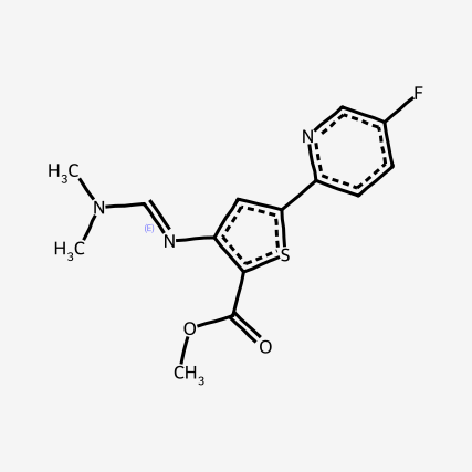 COC(=O)c1sc(-c2ccc(F)cn2)cc1/N=C/N(C)C